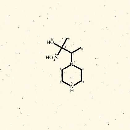 CC(N1CCNCC1)C(C)(O)S(=O)(=O)O